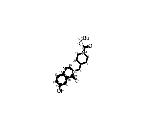 CC(C)(C)OC(=O)N1CCC(Cn2cnc3ccc(O)cc3c2=O)CC1